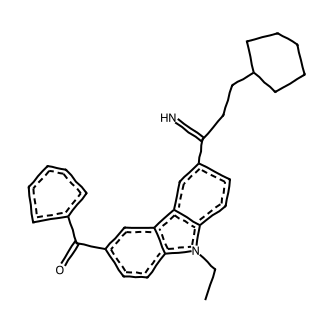 CCn1c2ccc(C(=N)CCC3CCCCC3)cc2c2cc(C(=O)c3ccccc3)ccc21